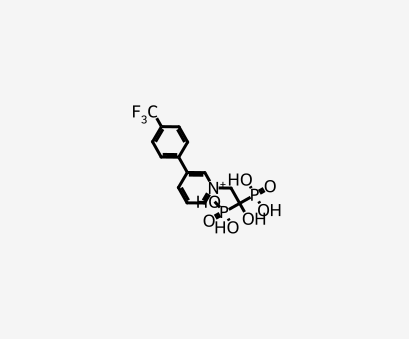 O=P(O)(O)C(O)(C[n+]1cccc(-c2ccc(C(F)(F)F)cc2)c1)P(=O)(O)O